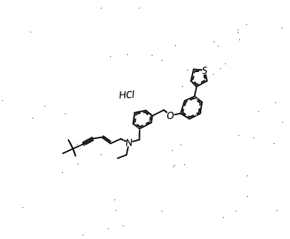 CCN(CC=CC#CC(C)(C)C)Cc1cccc(COc2cccc(-c3ccsc3)c2)c1.Cl